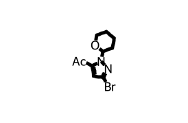 CC(=O)c1cc(Br)nn1C1CCCCO1